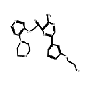 NCCOc1cccc(-c2cnc(N)c(C(=O)Nc3cnccc3N3CCOCC3)n2)c1